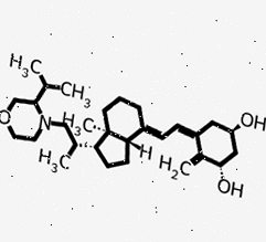 C=C1C(=CC=C2CCC[C@]3(C)[C@@H](C(C)CN4CCOCC4C(C)C)CC[C@@H]23)C[C@@H](O)C[C@@H]1O